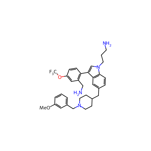 COc1cccc(CN2CCC(Cc3ccc4c(c3)c(-c3ccc(OC(F)(F)F)cc3CN)cn4CCCN)CC2)c1